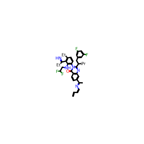 C=C/C=C\N=C(/C)c1ccc2c(=O)n(-c3ccc(CC)c(C(=N)CC)c3NCC(F)F)c(C(Cc3cc(F)cc(F)c3)C(C)C)nc2c1